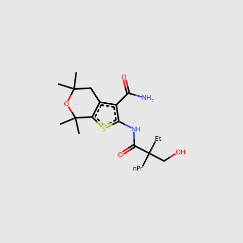 CCCC(CC)(CO)C(=O)Nc1sc2c(c1C(N)=O)CC(C)(C)OC2(C)C